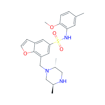 COc1ccc(C)cc1NS(=O)(=O)c1cc(CN2C[C@H](C)NC[C@H]2C)c2occc2c1